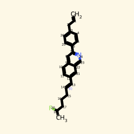 C=CCc1ccc(-c2cc3ccc(/C=C/CCCC(C)F)cc3cn2)cc1